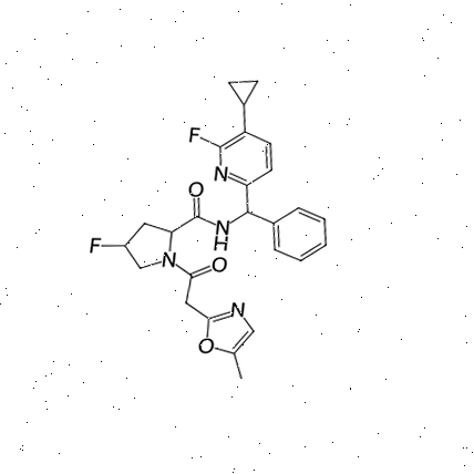 Cc1cnc(CC(=O)N2CC(F)CC2C(=O)NC(c2ccccc2)c2ccc(C3CC3)c(F)n2)o1